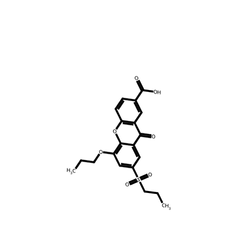 CCCOc1cc(S(=O)(=O)CCC)cc2c(=O)c3cc(C(=O)O)ccc3oc12